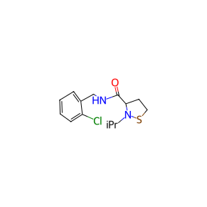 CC(C)N1SCCC1C(=O)NCc1ccccc1Cl